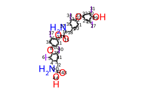 N[C@@H](Cc1cc(I)c(Oc2ccc(OC(=O)[C@@H](N)Cc3ccc(Oc4cc(I)c(O)c(I)c4)c(I)c3)c(I)c2)c(I)c1)C(=O)O